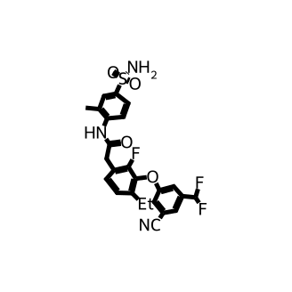 CCc1ccc(CC(=O)Nc2ccc(S(N)(=O)=O)cc2C)c(F)c1Oc1cc(C#N)cc(C(F)F)c1